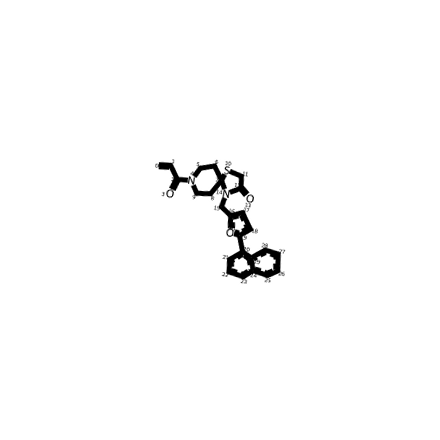 C=CC(=O)N1CCC2(CC1)SCC(=O)N2Cc1ccc(-c2cccc3ccccc23)o1